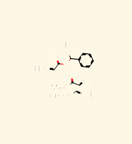 C=CC(=O)OC.C=CC(=O)OC(C)c1ccccc1.C=CC(=O)OCC